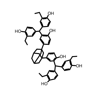 CCc1cc(C(c2ccc(O)c(CC)c2)c2cc(C34CC5CC(C3)CC(c3ccc(O)c(C(c6ccc(O)c(CC)c6)c6ccc(O)c(CC)c6)c3)(C5)C4)ccc2O)ccc1O